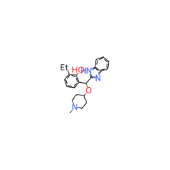 CCc1cccc(C(OC2CCN(C)CC2)c2nc3ccccc3[nH]2)c1O